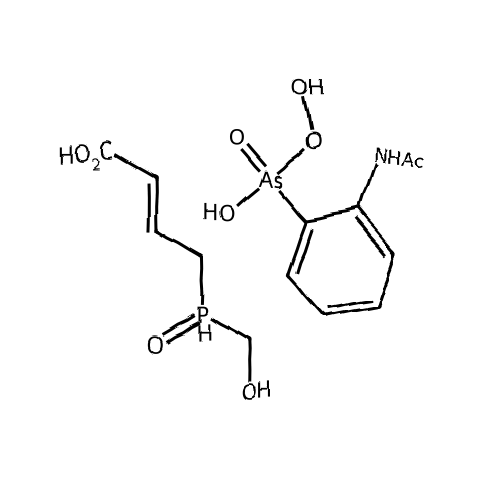 CC(=O)Nc1ccccc1[As](=O)(O)OO.O=C(O)C=CC[PH](=O)CO